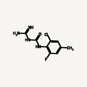 Cc1cc(F)c(NC(=O)NC(=N)N)c(Cl)c1